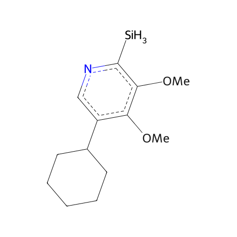 COc1c(C2CCCCC2)cnc([SiH3])c1OC